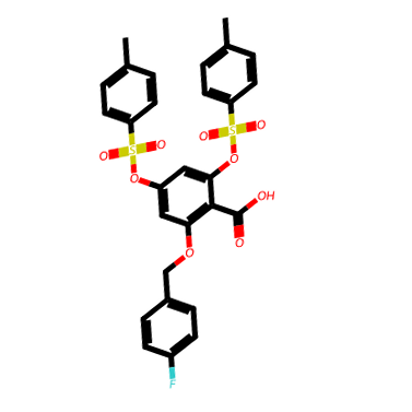 Cc1ccc(S(=O)(=O)Oc2cc(OCc3ccc(F)cc3)c(C(=O)O)c(OS(=O)(=O)c3ccc(C)cc3)c2)cc1